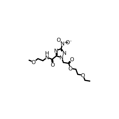 CCOCCOC(=O)Cn1nc([N+](=O)[O-])nc1C(=O)NCCOC